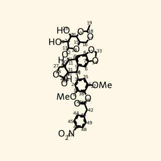 COc1cc([C@@H]2c3cc4c(cc3[C@@H](OC3OC5COC(C)OC5C(O)C3O)[C@H]3COC(=O)[C@H]23)OCO4)cc(OC)c1OC(=O)Cc1ccc([N+](=O)[O-])cc1